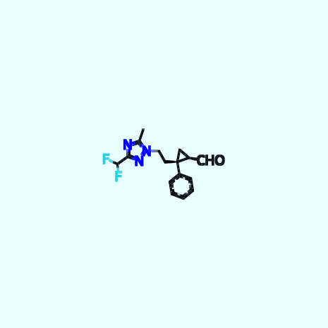 Cc1nc(C(F)F)nn1CC[C@@]1(c2ccccc2)C[C@H]1C=O